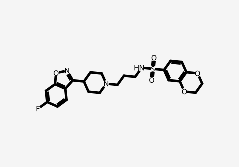 O=S(=O)(NCCCN1CCC(c2noc3cc(F)ccc23)CC1)c1ccc2c(c1)OCCO2